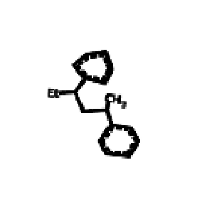 CCC(CC(C)c1ccccc1)c1ccccc1